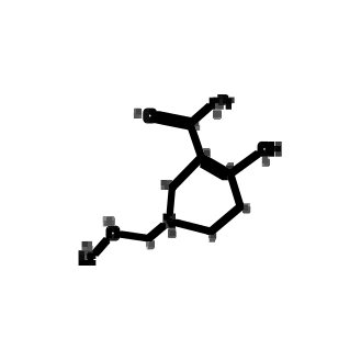 CCCC(=O)C1=C(O)CCN(COCC)C1